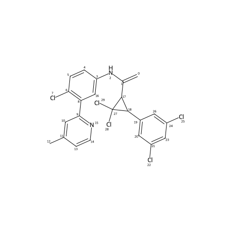 C=C(Nc1ccc(Cl)c(-c2cc(C)ccn2)c1)C1C(c2cc(Cl)cc(Cl)c2)C1(Cl)Cl